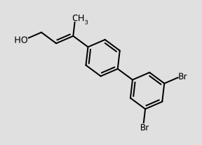 CC(=CCO)c1ccc(-c2cc(Br)cc(Br)c2)cc1